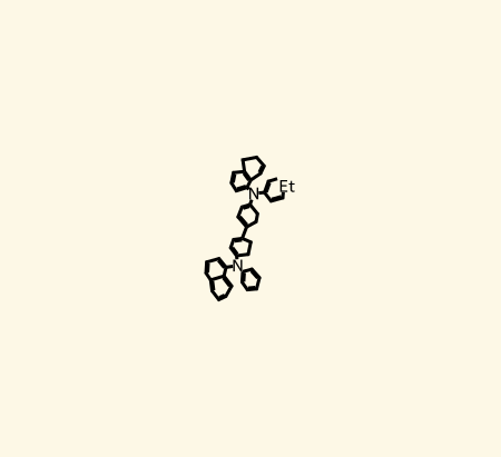 C/C=C(\C=C/CC)N(C1=CC=C(C2=CC=C(N(c3ccccc3)c3cccc4ccccc34)CC2)CC1)c1cccc2c1C=CCC2